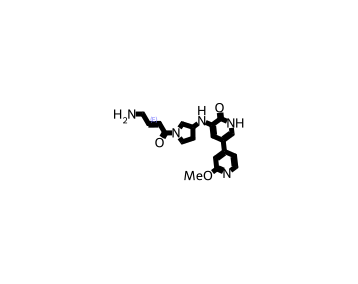 COc1cc(-c2c[nH]c(=O)c(NC3CCN(C(=O)/C=C/CN)C3)c2)ccn1